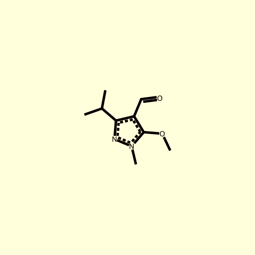 COc1c(C=O)c(C(C)C)nn1C